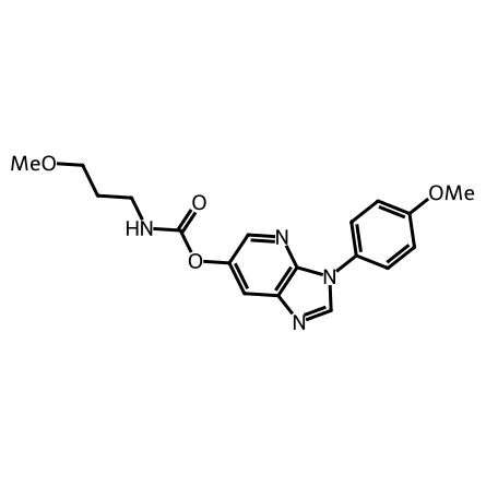 COCCCNC(=O)Oc1cnc2c(c1)ncn2-c1ccc(OC)cc1